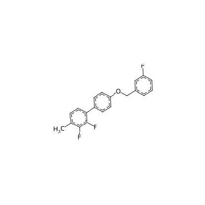 Cc1ccc(-c2ccc(OCc3cccc(F)c3)cc2)c(F)c1F